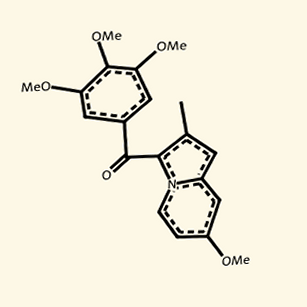 COc1ccn2c(C(=O)c3cc(OC)c(OC)c(OC)c3)c(C)cc2c1